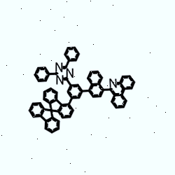 c1ccc(-c2nc(-c3ccccc3)nc(-c3cc(-c4cccc5c4-c4ccccc4C54c5ccccc5-c5ccccc54)cc(-c4ccc(-c5nc6ccccc6c6ccccc56)c5ccccc45)c3)n2)cc1